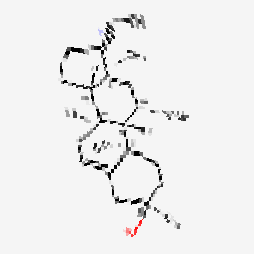 CO[C@H]1C[C@]2(C)/C(=C\C#N)CC[C@H]2[C@@H]2CC=C3C[C@@](O)(C(F)(F)F)CC[C@]3(C)[C@H]21